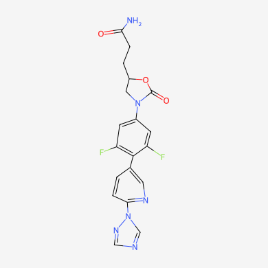 NC(=O)CCC1CN(c2cc(F)c(-c3ccc(-n4cncn4)nc3)c(F)c2)C(=O)O1